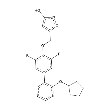 Oc1cc(COc2c(F)cc(-c3cccnc3OC3CCCC3)cc2F)on1